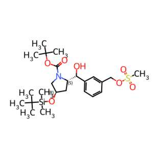 CC(C)(C)OC(=O)N1C[C@H](O[Si](C)(C)C(C)(C)C)C[C@H]1C(O)c1cccc(COS(C)(=O)=O)c1